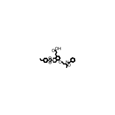 CCc1ccc(S(=O)(=O)N2CCc3c(OCCc4nc(-c5ccccc5)oc4C)ccc(CCC(=O)O)c3C2)cc1